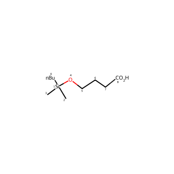 CCCC[Si](C)(C)OCCCC(=O)O